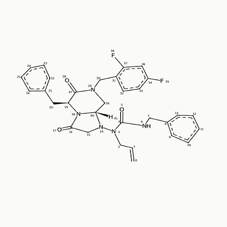 C=CCN(C(=O)NCc1ccccc1)N1CC(=O)N2[C@@H](Cc3ccccc3)C(=O)N(Cc3ccc(F)cc3F)C[C@@H]21